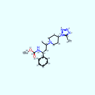 CC(C)c1nnnn1C1CCN(C(C)C[C@H](NC(=O)OC(C)(C)C)c2ccccc2)CC1